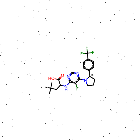 CC(C)(C)CC(Nc1ncnc(N2CCC[C@@H]2c2ccc(C(F)(F)F)cc2)c1F)C(=O)O